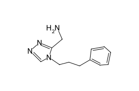 NCc1nncn1CCCc1ccccc1